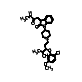 CNC(=O)CC1C(=O)N(C2CCN(CCC(Oc3cc(OC)ccc3Cl)C(C)C)CC2)c2ccccc21